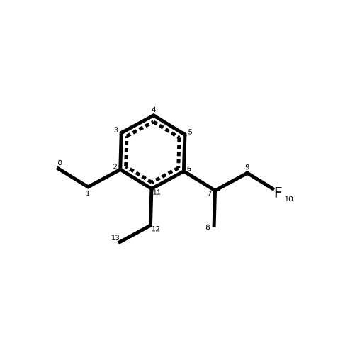 CCc1cccc([C](C)CF)c1CC